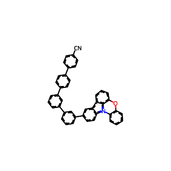 N#Cc1ccc(-c2ccc(-c3cccc(-c4cccc(-c5ccc6c(c5)c5cccc7c5n6-c5ccccc5O7)c4)c3)cc2)cc1